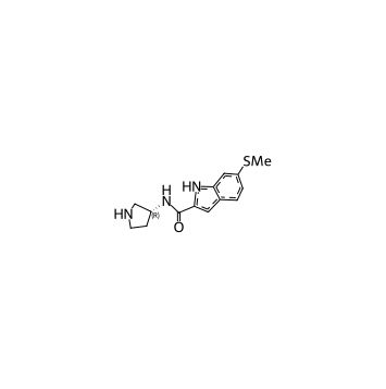 CSc1ccc2cc(C(=O)N[C@@H]3CCNC3)[nH]c2c1